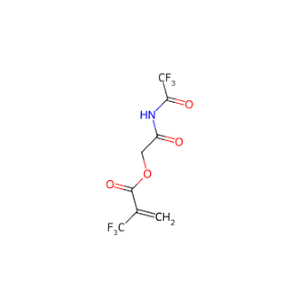 C=C(C(=O)OCC(=O)NC(=O)C(F)(F)F)C(F)(F)F